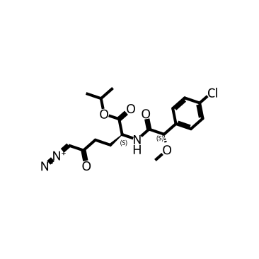 CO[C@H](C(=O)N[C@@H](CCC(=O)C=[N+]=[N-])C(=O)OC(C)C)c1ccc(Cl)cc1